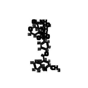 Cc1cc(COc2ccc(S(=O)(=O)NC3CCOCC34NC(=O)NC4=O)cc2)c2ccccc2n1